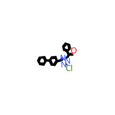 Clc1nc(-c2ccc(-c3ccccc3)cc2)nc(-c2coc3ccccc23)n1